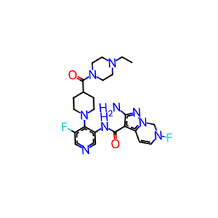 CCN1CCN(C(=O)C2CCN(c3c(F)cncc3NC(=O)c3c(N)nn4c3C=CN(F)C4)CC2)CC1